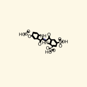 O=C1/C(=C2\Nc3c(cc(S(=O)(=O)O)cc3S(=O)(=O)O)C2=O)Nc2ccc(OS(=O)O)cc21